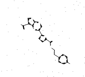 O=C(NCCc1ccc(F)cc1)c1ccc(-c2cnc3[nH]cc(C(=O)O)c3n2)s1